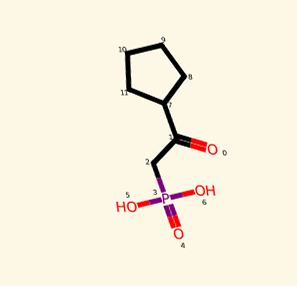 O=C(CP(=O)(O)O)C1CCCC1